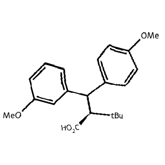 COc1ccc(C(c2cccc(OC)c2)[C@H](C(=O)O)C(C)(C)C)cc1